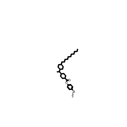 CCCCCCCCCCCC1CCC(C(C)C2CCC(C(=O)Oc3ccc(N=C=S)cc3)CC2)CC1